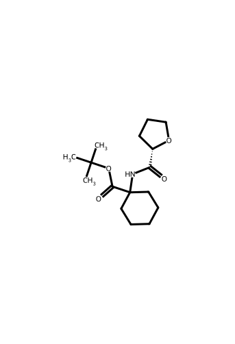 CC(C)(C)OC(=O)C1(NC(=O)[C@@H]2CCCO2)CCCCC1